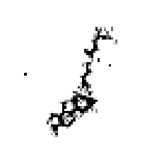 CC(C)[C@]12C[C@H]1[C@@H]1O[C@@]13[C@@]1(C)CCC4=C(COC4=O)C1CO[C@]3(C)[C@@H]2OC(=O)CCCNC(=O)CC[C@H](N)C(=O)O